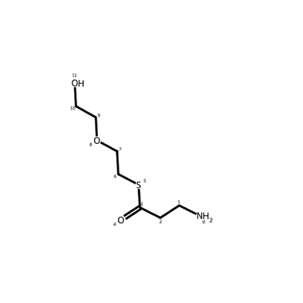 NCCC(=O)SCCOCCO